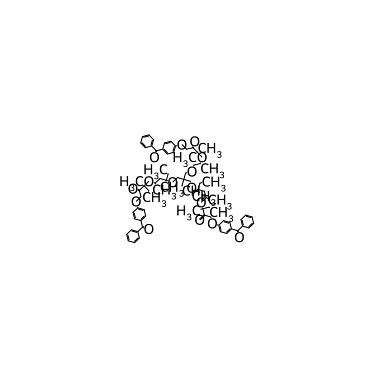 CCC(COCC(C)OC(C)(C)C(=O)COc1ccc(C(=O)c2ccccc2)cc1)(COC(C)(CC)CC(C)OC(C)(CC)C(=O)COc1ccc(C(=O)c2ccccc2)cc1)COC(C)(CC)CC(C)OC(C)(CC)C(=O)COc1ccc(C(=O)c2ccccc2)cc1